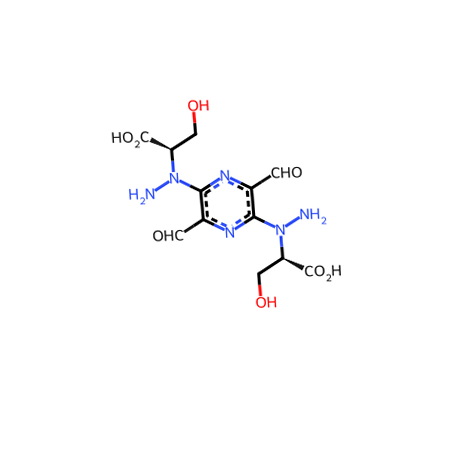 NN(c1nc(C=O)c(N(N)[C@H](CO)C(=O)O)nc1C=O)[C@H](CO)C(=O)O